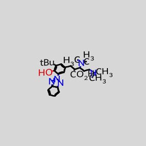 CN(C)CCC(C(Cc1cc(-n2nc3ccccc3n2)c(O)c(C(C)(C)C)c1)C(=O)O)N(C)C